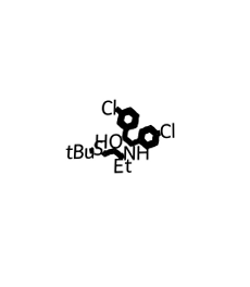 CC[C@@H](CCSC(C)(C)C)N[C@H](c1ccc(Cl)cc1)C(O)c1cccc(Cl)c1